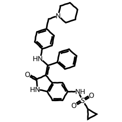 O=C1Nc2ccc(NS(=O)(=O)C3CC3)cc2/C1=C(/Nc1ccc(CN2CCCCC2)cc1)c1ccccc1